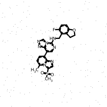 Cc1ccc(-c2cnc(NCc3c(F)ccc4c3CCO4)n3cnnc23)c2ncc(S(C)(=O)=O)n12